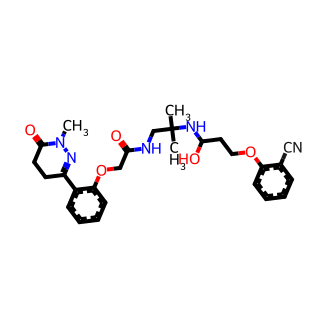 CN1N=C(c2ccccc2OCC(=O)NCC(C)(C)NC(O)CCOc2ccccc2C#N)CCC1=O